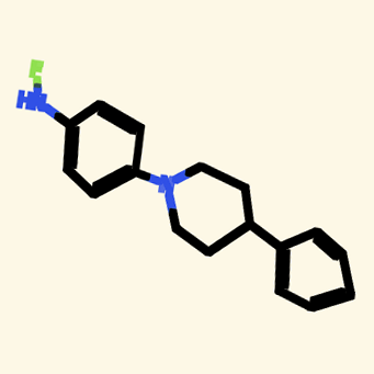 FNc1ccc(N2CCC(c3ccccc3)CC2)cc1